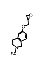 CC(=O)N1CCc2cc(OCC3CO3)ccc2C1